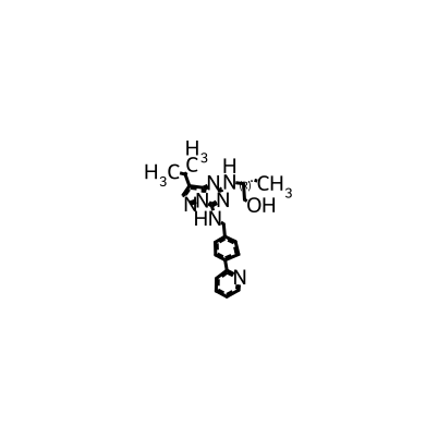 CC[C@H](CO)Nc1nc(NCc2ccc(-c3ccccn3)cc2)n2ncc(C(C)C)c2n1